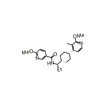 CC[C@@H](NC(=O)c1ccc(OC)nc1)[C@H]1CC[C@@H](c2ccnc(OC)c2C)CC1